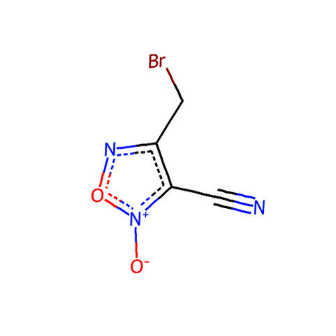 N#Cc1c(CBr)no[n+]1[O-]